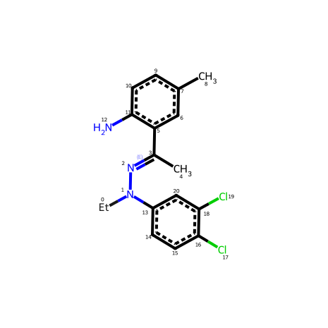 CCN(/N=C(\C)c1cc(C)ccc1N)c1ccc(Cl)c(Cl)c1